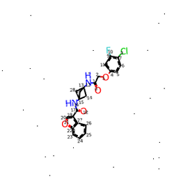 O=C(COc1ccc(Cl)c(F)c1)NC12CC(NC(=O)c3coc4ccccc34)(C1)C2